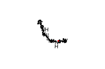 CC[n+]1ccccc1/C=C/c1ccc(NCCCn2cc[n+](CCSSCC[n+]3ccn(CCCNc4ccc(/C=C/c5cccc[n+]5CC)cc4)c3)c2)cc1